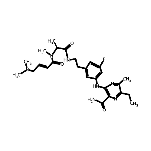 CCc1nc(C(N)=O)c(Nc2cc(F)cc(CCNC(=O)[C@H](C)N(C)C(=O)/C=C/CN(C)C)c2)nc1C